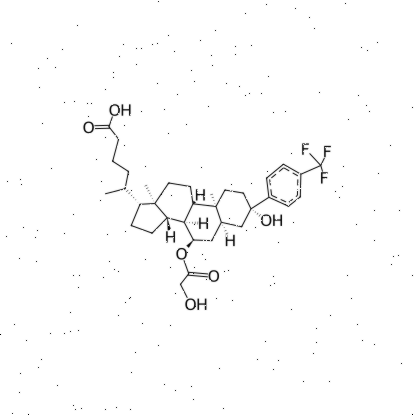 CC(CCCC(=O)O)[C@H]1CC[C@H]2[C@@H]3[C@H](OC(=O)CO)C[C@@H]4C[C@](O)(c5ccc(C(F)(F)F)cc5)CC[C@]4(C)[C@H]3CC[C@]12C